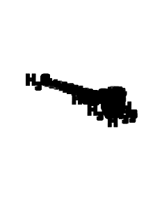 CCCCCCCCCCCCCCCCCCCC(CC(=O)NNC(=O)CCN1C(=O)C2(CC(C)(C)NC(C)(C)C2)OC12CCCCCCCCCCC2)C(=O)O